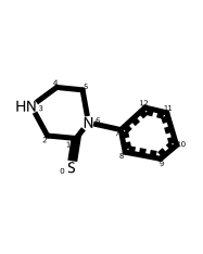 S=C1CNCCN1c1ccccc1